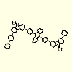 CCn1c2ccc(-c3ccccc3)cc2c2cc(-c3ccc(-c4c5ccccc5c(-c5ccc(-c6ccc7c(c6)c6cc(-c8ccc(-c9ccccc9)cc8)ccc6n7CC)cc5)c5ccccc45)cc3)ccc21